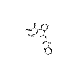 COC=C(C(=O)OC)c1ccccc1C(C)OC(=O)Nc1ccccn1